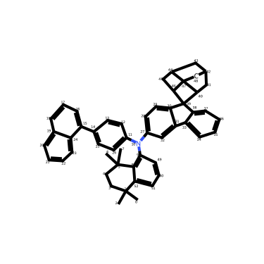 CC1(C)CCC(C)(C)c2c(N(c3ccc(-c4cccc5ccccc45)cc3)c3ccc4c(c3)-c3ccccc3C43C4CC5CC6CC3C64C5)cccc21